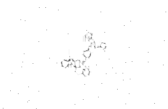 c1cnc2c(c1)CCCC2N(Cc1ccc(CN(CC2CCCN2)CC2CCCN2)cc1)Cc1nc2ccccc2[nH]1